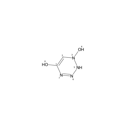 OC1=CN(O)NN=N1